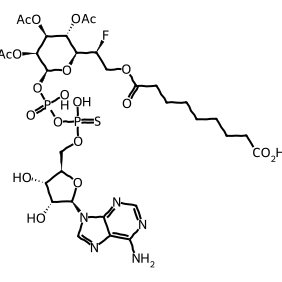 CC(=O)O[C@H]1[C@H](OC(C)=O)[C@@H]([C@@H](F)COC(=O)CCCCCCCC(=O)O)O[C@@H](OP(=O)(O)OP(O)(=S)OC[C@H]2O[C@@H](n3cnc4c(N)ncnc43)[C@H](O)[C@@H]2O)[C@H]1OC(C)=O